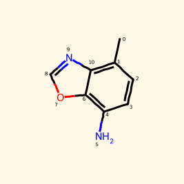 Cc1ccc(N)c2ocnc12